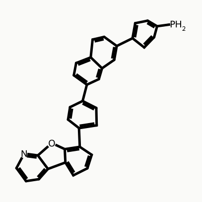 Pc1ccc(-c2ccc3ccc(-c4ccc(-c5cccc6c5oc5ncccc56)cc4)cc3c2)cc1